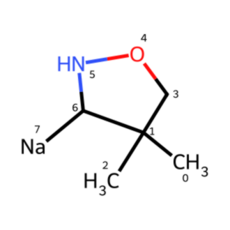 CC1(C)CON[CH]1[Na]